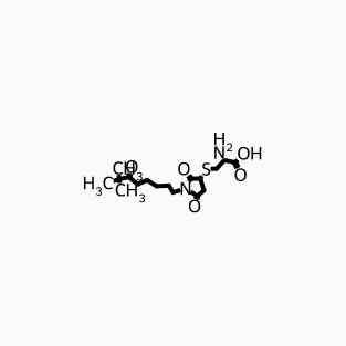 CC(C)(C)C(=O)CCCCCN1C(=O)CC(SCC(N)C(=O)O)C1=O